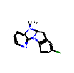 CN1c2cccnc2N2c3ccc(F)cc3CC12